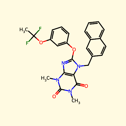 Cn1c(=O)c2c(nc(Oc3cccc(OC(C)(F)F)c3)n2Cc2ccc3ccccc3c2)n(C)c1=O